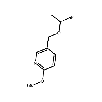 CC(C)[C@@H](C)OCc1ccc(OC(C)(C)C)nc1